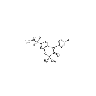 CNS(=O)(=O)c1ccc2c(c1)OC(C)(C)C(=O)N2c1ccc(Br)cc1